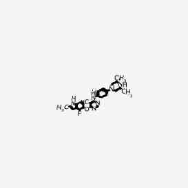 Cc1cc2c(F)c(Oc3ncnc(Nc4ccc(N5CC(C)NC(C)C5)cc4)c3C#N)ccc2[nH]1